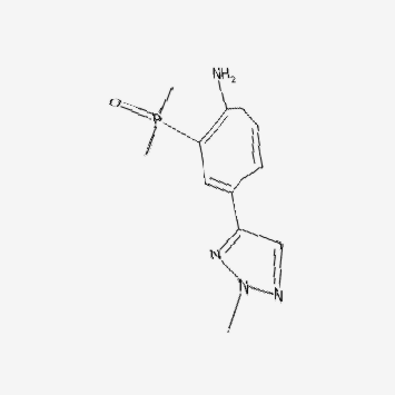 Cn1ncc(-c2ccc(N)c(P(C)(C)=O)c2)n1